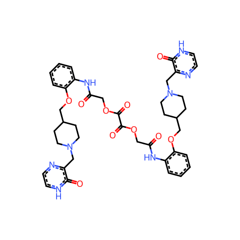 O=C(COC(=O)C(=O)OCC(=O)Nc1ccccc1OCC1CCN(Cc2ncc[nH]c2=O)CC1)Nc1ccccc1OCC1CCN(Cc2ncc[nH]c2=O)CC1